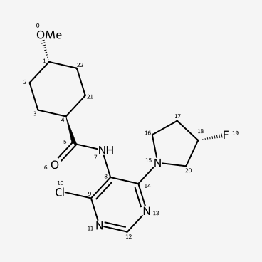 CO[C@H]1CC[C@H](C(=O)Nc2c(Cl)ncnc2N2CC[C@H](F)C2)CC1